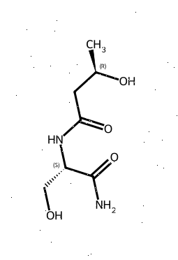 C[C@@H](O)CC(=O)N[C@@H](CO)C(N)=O